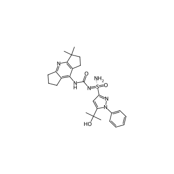 CC(C)(O)c1cc([S@](N)(=O)=NC(=O)Nc2c3c(nc4c2CCC4(C)C)CCC3)nn1-c1ccccc1